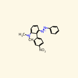 CN(C)c1cccc(/N=N/c2ccccc2)c1-c1ccc([N+](=O)[O-])cc1